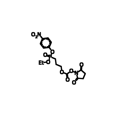 CCOP(=O)(CCCOC(=O)ON1C(=O)CCC1=O)Oc1ccc([N+](=O)[O-])cc1